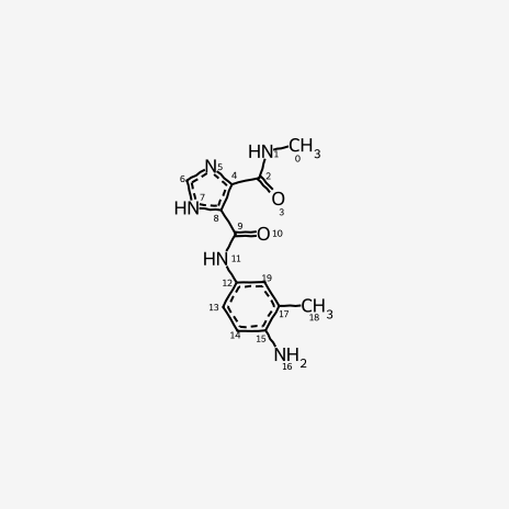 CNC(=O)c1nc[nH]c1C(=O)Nc1ccc(N)c(C)c1